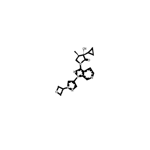 C[C@@H]1CN(c2nn(-c3cnn(C4COC4)c3)c3cnccc23)C(=O)[C@]1(C#N)C1CC1